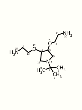 CC(C)(C)N1CC(OCCN)C(OCCN)C1